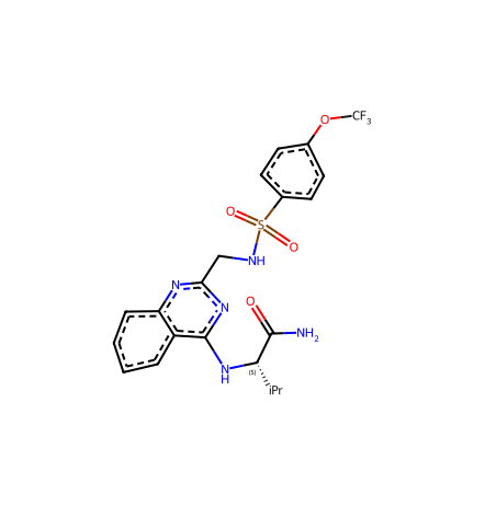 CC(C)[C@H](Nc1nc(CNS(=O)(=O)c2ccc(OC(F)(F)F)cc2)nc2ccccc12)C(N)=O